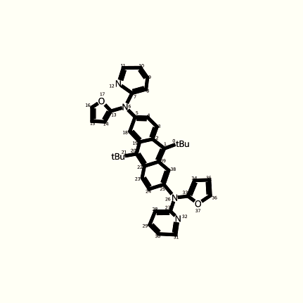 CC(C)(C)c1c2ccc(N(c3ccccn3)c3ccco3)cc2c(C(C)(C)C)c2ccc(N(c3ccccn3)c3ccco3)cc12